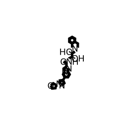 O=C(NC[C@H](O)[C@@H](O)CN1CCc2ccccc2C1)c1cn2cc(-c3cnn(C4CCOC4)c3)ccc2n1